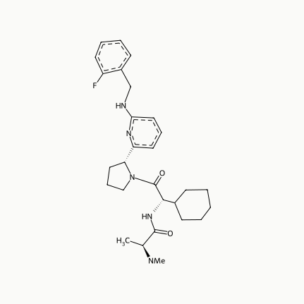 CN[C@@H](C)C(=O)N[C@H](C(=O)N1CCC[C@@H]1c1cccc(NCc2ccccc2F)n1)C1CCCCC1